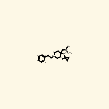 CC(C)N(C=O)CC1(OC2(C)CC2)CCN(CCc2ccccn2)CC1